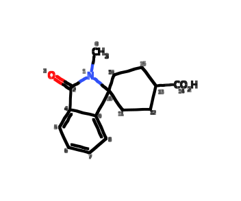 CN1C(=O)c2ccccc2C12CCC(C(=O)O)CC2